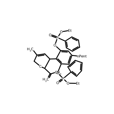 C=C(C)C1CCC(C)=CC1c1c(OP(=O)(OCC)c2ccccc2)cc(CCCCC)cc1OP(=O)(OCC)c1ccccc1